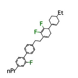 CCCc1ccc(-c2ccc(CCC3=CCC(C4=CCC(CC)CC4)C(F)=C3F)cc2)c(F)c1